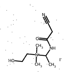 CC(NC(=O)CC#N)[N+](C)(C)CCO.[I-]